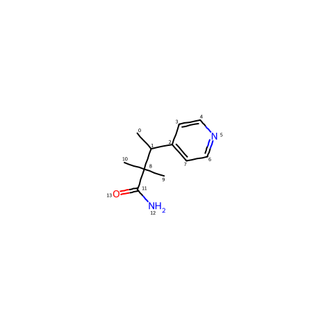 CC(c1ccncc1)C(C)(C)C(N)=O